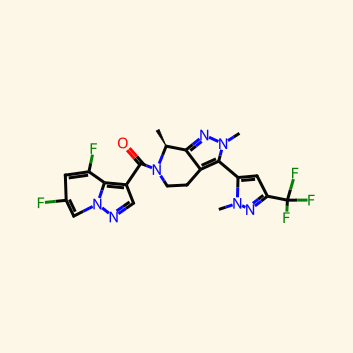 C[C@H]1c2nn(C)c(-c3cc(C(F)(F)F)nn3C)c2CCN1C(=O)c1cnn2cc(F)cc(F)c12